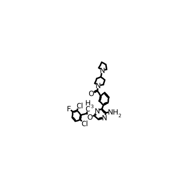 CC(Oc1cnc(N)c(-c2cccc(C(=O)N3CCC(N4CCCC4)CC3)c2)n1)c1c(Cl)ccc(F)c1Cl